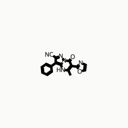 Cc1[nH]c2c(-c3ccccc3)c(C#N)nn2c(=O)c1-c1ncco1